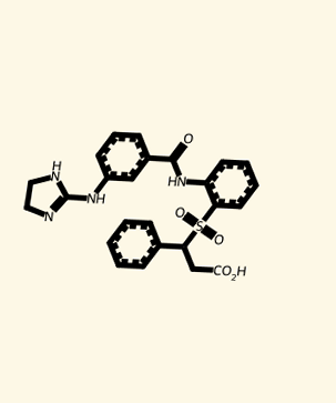 O=C(O)CC(c1ccccc1)S(=O)(=O)c1ccccc1NC(=O)c1cccc(NC2=NCCN2)c1